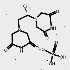 C[C@@H](CN1CC(=O)NC(=O)C1)N1CC(=O)NC(=O)C1.O=P(O)(O)O